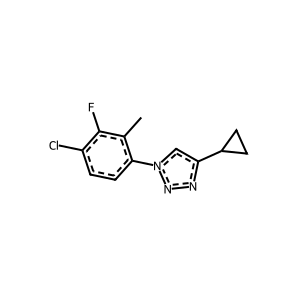 Cc1c(-n2cc(C3CC3)nn2)ccc(Cl)c1F